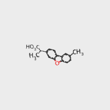 Cc1ccc2oc3cc(C(C)C(=O)O)ccc3c2c1